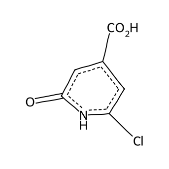 O=C(O)c1cc(Cl)[nH]c(=O)c1